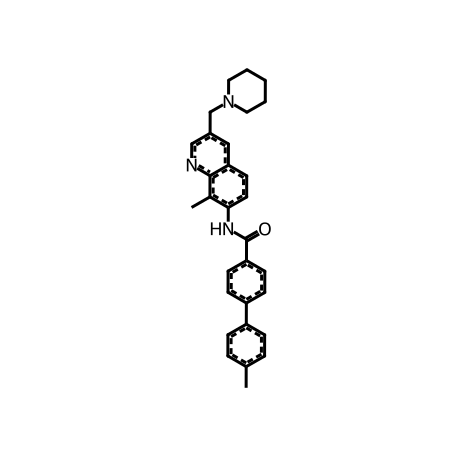 Cc1ccc(-c2ccc(C(=O)Nc3ccc4cc(CN5CCCCC5)cnc4c3C)cc2)cc1